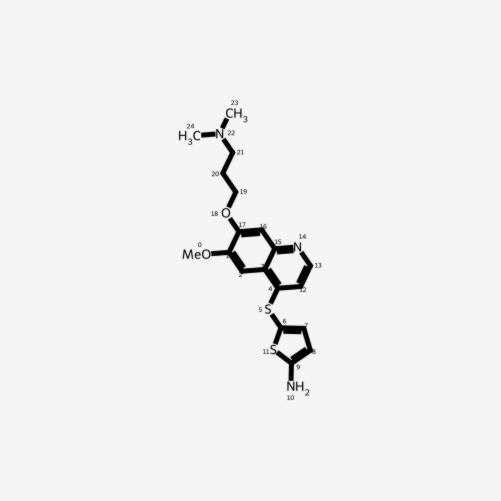 COc1cc2c(Sc3ccc(N)s3)ccnc2cc1OCCCN(C)C